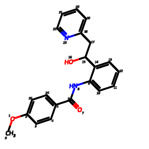 COc1ccc(C(=O)Nc2ccccc2C(O)Cc2ccccn2)cc1